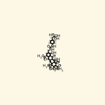 CN(C)c1cc(CNC(=O)Nc2ccc(CC(O)(O)O)cc2)c(O)c2c1CC1C[C@H]3[C@@H](N(C)C)C(O)=C(C(N)=O)C(=O)[C@@]3(O)C(O)=C1C2=O